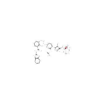 Cc1c(-c2ccc(N3CCc4cccc(C(=O)Nc5nc6ccccc6s5)c4C3)nc2OC(=O)O)nnn1CC12CC3CC(CC(C3)O1)C2